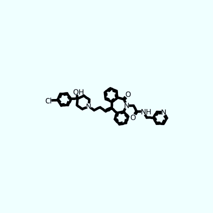 O=C(CN1C(=O)c2ccccc2C(=CCCN2CCC(O)(c3ccc(Cl)cc3)CC2)c2ccccc21)NCc1cccnc1